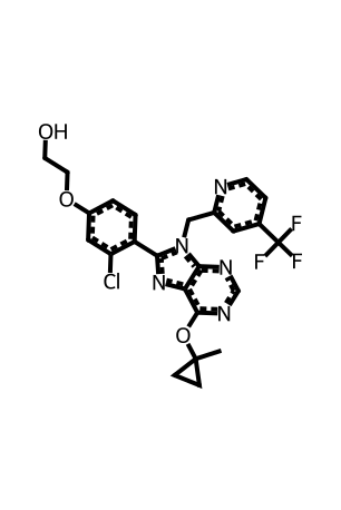 CC1(Oc2ncnc3c2nc(-c2ccc(OCCO)cc2Cl)n3Cc2cc(C(F)(F)F)ccn2)CC1